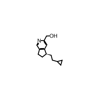 OCc1cc2c(cn1)CC[C@@H]2CCC1CC1